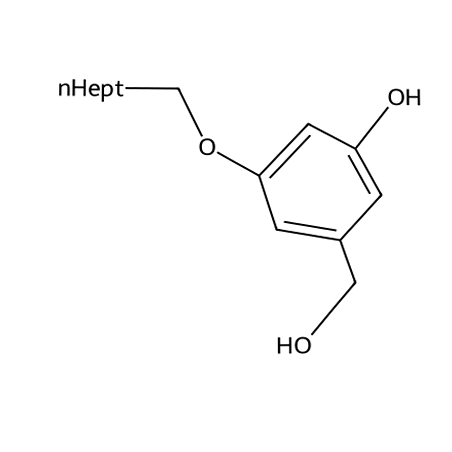 CCCCCCCCOc1cc(O)cc(CO)c1